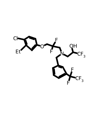 CCc1cc(OCC(F)(F)CN(Cc2cccc(C(F)(F)C(F)(F)F)c2)CC(O)C(F)(F)F)ccc1Cl